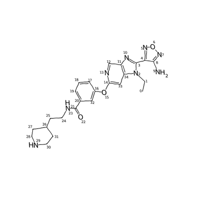 CCn1c(-c2nonc2N)nc2cnc(Oc3cccc(C(=O)NCCC4CCNCC4)c3)cc21